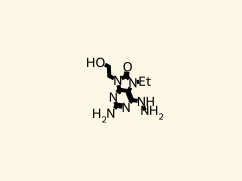 CCn1c(=O)n(CCO)c2nc(N)nc(NN)c21